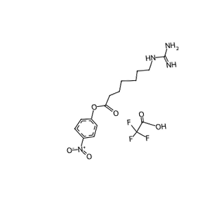 N=C(N)NCCCCCCC(=O)Oc1ccc([N+](=O)[O-])cc1.O=C(O)C(F)(F)F